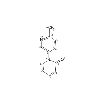 O=c1ccccn1-c1ccc(C(F)(F)F)nc1